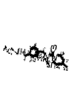 CC(=O)NCc1ccc(CN(NCl)C(=O)N2CCC(C)CC2)cc1